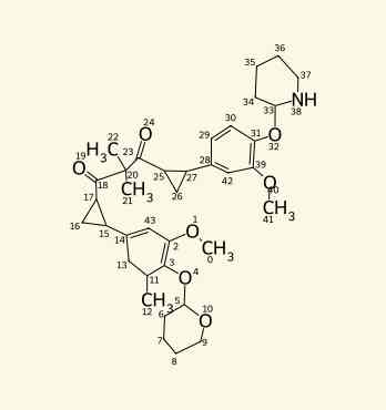 COC1=C(OC2CCCCO2)C(C)CC(C2CC2C(=O)C(C)(C)C(=O)C2CC2c2ccc(OC3CCCCN3)c(OC)c2)=C1